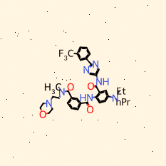 CCCN(CC)c1ccc(NC(=O)c2cccc(C(=O)N(C)CCN3CCOCC3)c2)c(C(=O)Nc2cnc(-c3cccc(C(F)(F)F)c3)nc2)c1